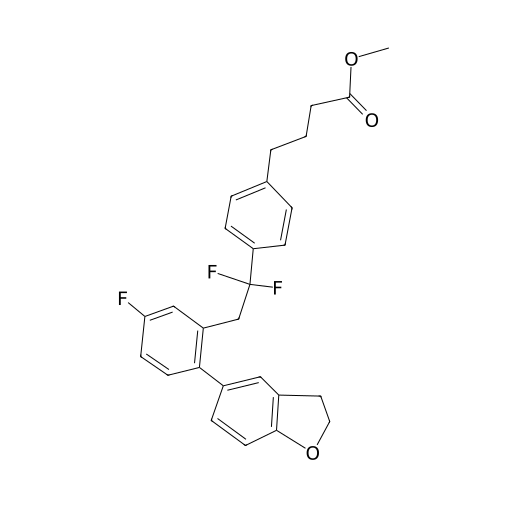 COC(=O)CCCc1ccc(C(F)(F)Cc2cc(F)ccc2-c2ccc3c(c2)CCO3)cc1